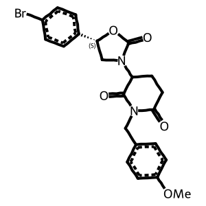 COc1ccc(CN2C(=O)CCC(N3C[C@H](c4ccc(Br)cc4)OC3=O)C2=O)cc1